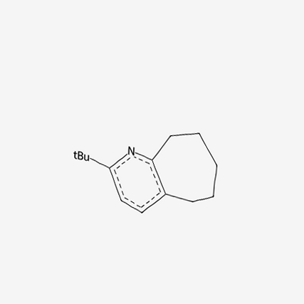 CC(C)(C)c1ccc2c(n1)CCCCC2